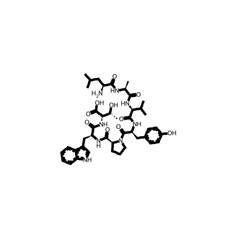 CC(C)C[C@H](N)C(=O)N[C@@H](C)C(=O)N[C@H](C(=O)N[C@@H](Cc1ccc(O)cc1)C(=O)N1CCC[C@H]1C(=O)N[C@@H](Cc1c[nH]c2ccccc12)C(=O)N[C@H](C(=O)O)[C@@H](C)O)C(C)C